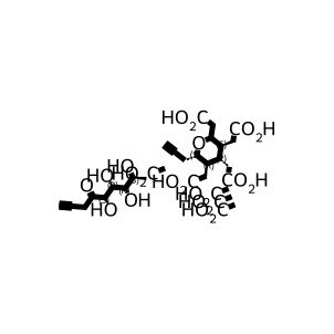 C#CCC(=O)[C@@H](O)[C@H](O)[C@H](O)[C@H](C)O.C#CC[C@@H]1OC(CC(=O)O)[C@@H](CC(=O)O)[C@H](CC(=O)O)[C@H]1CC(=O)O.CC(=O)O.CC(=O)O.CC(=O)O.CC(=O)O